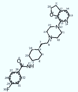 O=C(N[C@H]1CC[C@H](CCN2CCN(c3nccc4c3OCC4)CC2)CC1)c1ccc(F)cc1